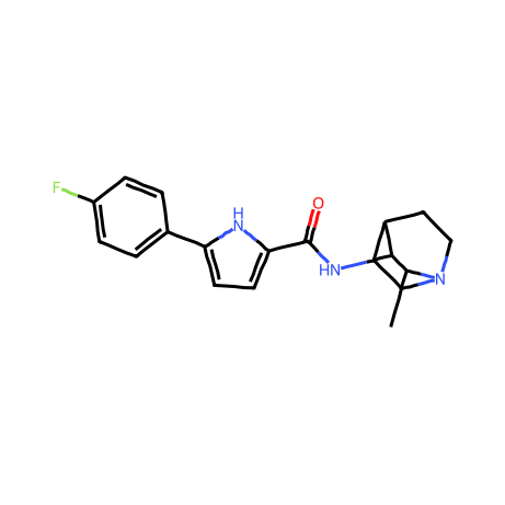 CC1C(NC(=O)c2ccc(-c3ccc(F)cc3)[nH]2)C2CCN1CC2